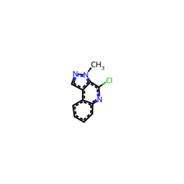 Cn1ncc2c3ccccc3nc(Cl)c21